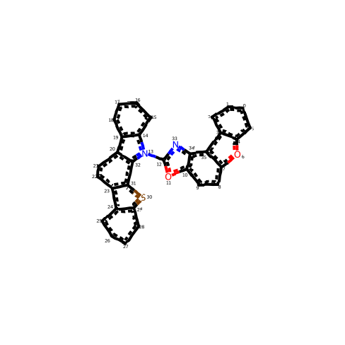 c1ccc2c(c1)oc1ccc3oc(-n4c5ccccc5c5ccc6c7ccccc7sc6c54)nc3c12